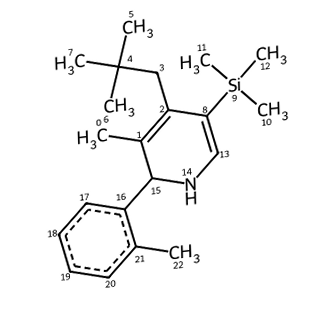 CC1=C(CC(C)(C)C)C([Si](C)(C)C)=CNC1c1ccccc1C